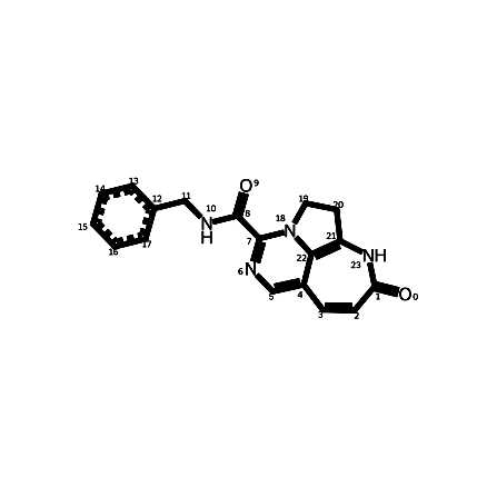 O=C1C=CC2=CN=C(C(=O)NCc3ccccc3)N3CCC(=C23)N1